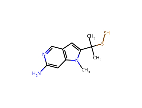 Cn1c(C(C)(C)SS)cc2cnc(N)cc21